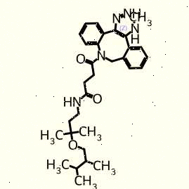 CN/C1=C(\N=N)c2ccccc2N(C(=O)CCC(=O)NCCC(C)(C)OCC(C)C(C)C)Cc2ccccc21